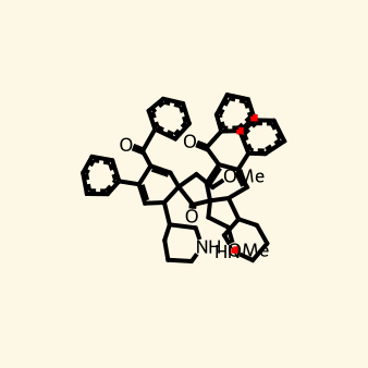 COCCC1(C(=O)C2(CCOC)C=C(C(=O)c3ccccc3)C(c3ccccc3)=CC2C2CCCNC2)C=C(C(=O)c2ccccc2)C(c2ccccc2)=CC1C1CCCNC1